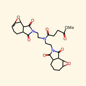 COC(=O)CCC(=O)N(CCN1C(=O)C2CCC=C3OC3C2C1=O)CCN1C(=O)C2CCCC3OC3C2C1=O